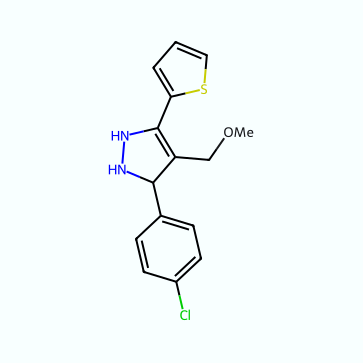 COCC1=C(c2cccs2)NNC1c1ccc(Cl)cc1